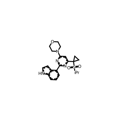 CC(C)S(=O)(=O)C1(c2cc(N3CCOCC3)nc(-c3cccc4[nH]ccc34)n2)CC1